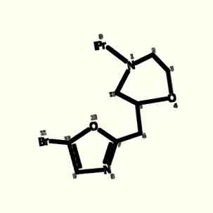 CC(C)N1CCOC(Cc2ncc(Br)o2)C1